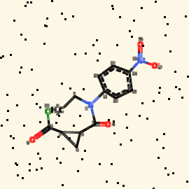 CCN(C(=O)C1CC1C(=O)Cl)c1ccc([N+](=O)[O-])cc1